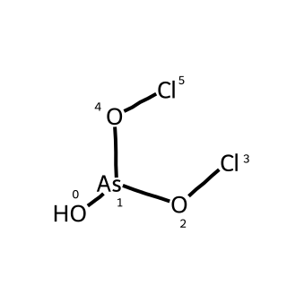 O[As](OCl)OCl